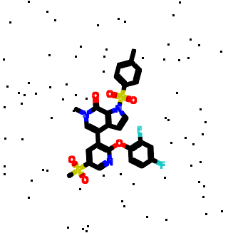 Cc1ccc(S(=O)(=O)n2ccc3c(-c4cc(S(C)(=O)=O)cnc4Oc4ccc(F)cc4F)cn(C)c(=O)c32)cc1